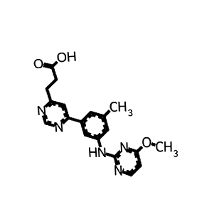 COc1ccnc(Nc2cc(C)cc(-c3cc(CCC(=O)O)ncn3)c2)n1